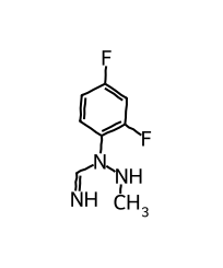 CNN(C=N)c1ccc(F)cc1F